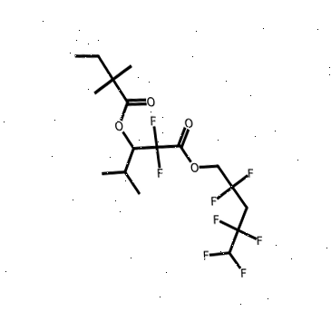 CCC(C)(C)C(=O)OC(C(C)C)C(F)(F)C(=O)OCC(F)(F)CC(F)(F)C(F)F